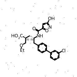 CCOC[C@H](C[C@@H](Cc1ccc(-c2cccc(Cl)c2)cc1)NC(=O)c1cc(O)no1)C(=O)O